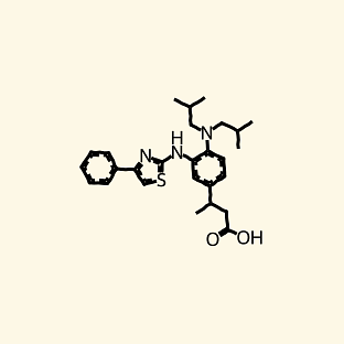 CC(C)CN(CC(C)C)c1ccc(C(C)CC(=O)O)cc1Nc1nc(-c2ccccc2)cs1